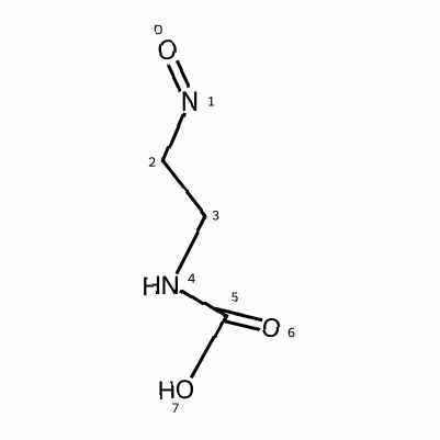 O=NCCNC(=O)O